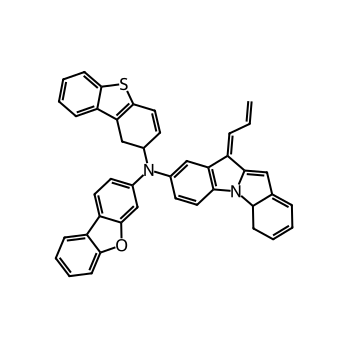 C=C/C=c1\c2n(c3ccc(N(c4ccc5c(c4)oc4ccccc45)C4C=Cc5sc6ccccc6c5C4)cc13)C1CC=CC=C1C=2